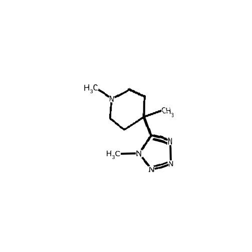 CN1CCC(C)(c2nnnn2C)CC1